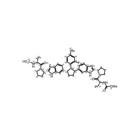 COC(=O)N[C@H](C(=O)N1CCC[C@H]1c1nc2ccc(C3CC[C@H](c4ccc5nc([C@@H]6CCCN6C(=O)[C@@H](NC(=O)O)C(C)C)[nH]c5c4)N3c3ccc(C(C)(C)C)cc3F)cc2[nH]1)C(C)C